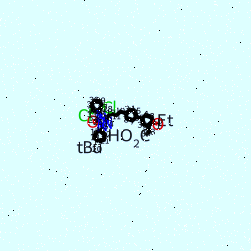 CCOc1ccc(-c2ccc(CCCc3nn(-c4ccc(C(C)(C)C)cc4)c(=O)n3-c3c(Cl)cccc3Cl)cc2)cc1CC(=O)O